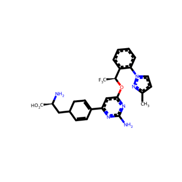 Cc1ccn(-c2ccccc2[C@@H](Oc2cc(C3=CCC(C[C@H](N)C(=O)O)C=C3)nc(N)n2)C(F)(F)F)n1